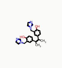 CC(=C(C)c1ccc(O)c(Cn2ccnc2)c1)c1ccc(O)c(Cn2ccnc2)c1